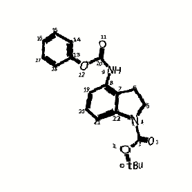 CC(C)(C)OC(=O)N1CCc2c(NC(=O)Oc3ccccc3)cccc21